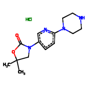 CC1(C)CN(c2ccc(N3CCNCC3)nc2)C(=O)O1.Cl